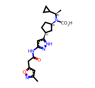 Cc1cc(CC(=O)Nc2cc([C@H]3CC[C@@H](N(C(=O)O)[C@H](C)C4CC4)C3)[nH]n2)on1